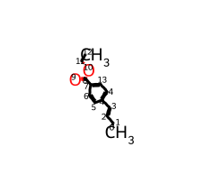 CC/C=C/c1ccc(C(=O)OCC)cc1